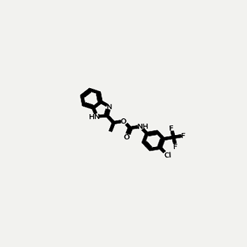 CC(OC(=O)Nc1ccc(Cl)c(C(F)(F)F)c1)c1nc2ccccc2[nH]1